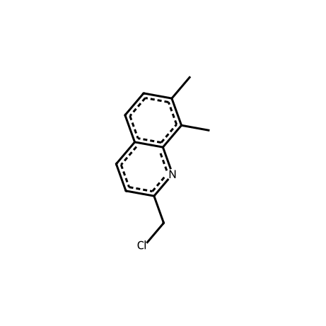 Cc1ccc2ccc(CCl)nc2c1C